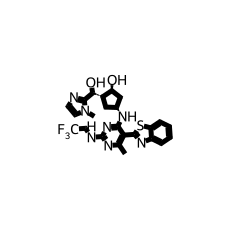 Cc1nc(NCC(F)(F)F)nc(N[C@@H]2C[C@H](C(O)c3nccn3C)[C@@H](O)C2)c1-c1nc2ccccc2s1